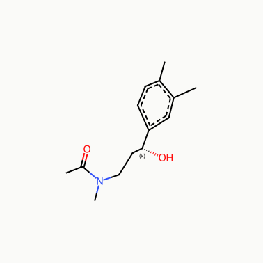 CC(=O)N(C)CC[C@@H](O)c1ccc(C)c(C)c1